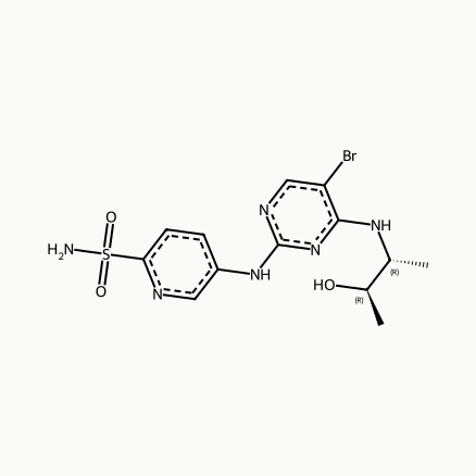 C[C@@H](O)[C@@H](C)Nc1nc(Nc2ccc(S(N)(=O)=O)nc2)ncc1Br